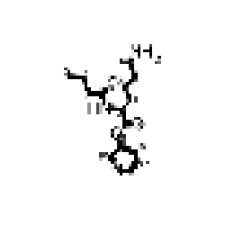 CCCC(=O)N[C@@H](CCCCN)C(=O)Oc1cccnc1